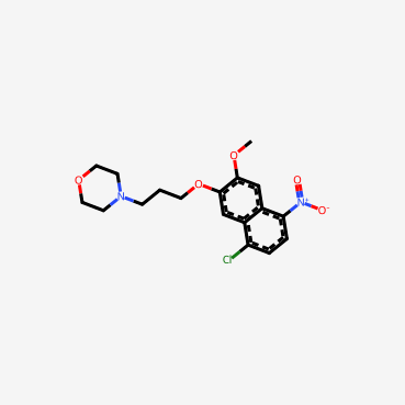 COc1cc2c([N+](=O)[O-])ccc(Cl)c2cc1OCCCN1CCOCC1